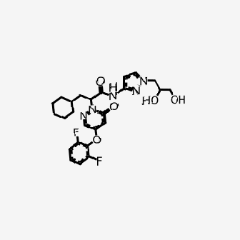 O=C(Nc1ccn(CC(O)CO)n1)C(CC1CCCCC1)n1ncc(Oc2c(F)cccc2F)cc1=O